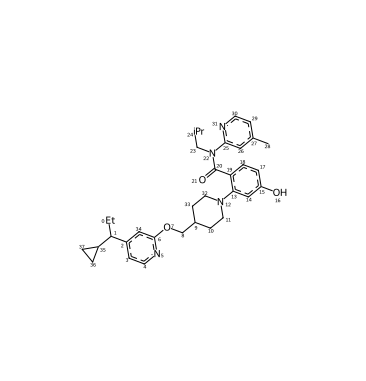 CCC(c1ccnc(OCC2CCN(c3cc(O)ccc3C(=O)N(CC(C)C)c3cc(C)ccn3)CC2)c1)C1CC1